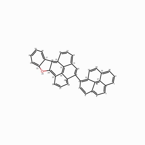 c1cc2ccc3ccc(-c4cc5cccc6c7c8ccccc8oc7c7cccc4c7c56)c4ccc(c1)c2c34